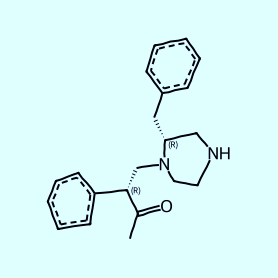 CC(=O)[C@@H](CN1CCNC[C@H]1Cc1ccccc1)c1ccccc1